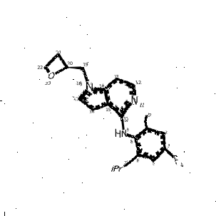 Cc1cc(F)cc(C(C)C)c1Nc1nccc2c1ccn2C[C@@H]1CCO1